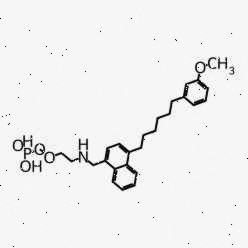 COc1cccc(CCCCCCc2ccc(CNCCOO[PH](=O)O)c3ccccc23)c1